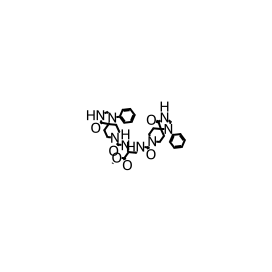 COC(=O)C(CNC(=O)N1CCC2(CC1)C(=O)NCN2c1ccccc1)NC(=O)N1CCC2(CC1)C(=O)NCN2c1ccccc1